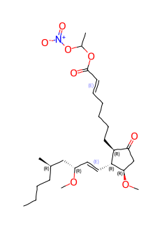 CCCC[C@@H](C)C[C@H](/C=C/[C@H]1[C@H](OC)CC(=O)[C@@H]1CCCC/C=C/C(=O)OC(C)O[N+](=O)[O-])OC